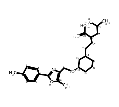 Cc1ccc(-c2nc(CO[C@@H]3CCC[C@H](CCC(CC(C)C)C(=O)O)C3)c(C)o2)cc1